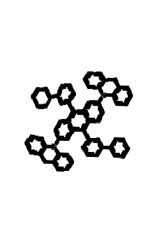 C1=CC(c2cccc(-c3c4ccc(N5c6ccccc6Cc6ccccc65)cc4c(-c4cccc(-c5ccccc5)c4)c4ccc(N5c6ccccc6Cc6ccccc65)cc34)c2)=CCC1